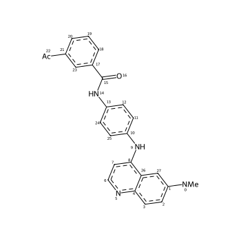 CNc1ccc2nccc(Nc3ccc(NC(=O)c4cccc(C(C)=O)c4)cc3)c2c1